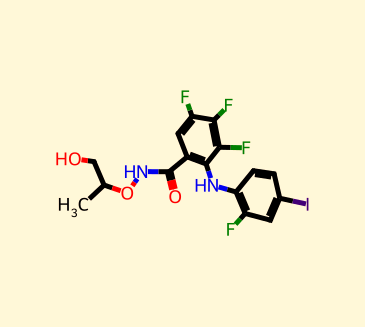 CC(CO)ONC(=O)c1cc(F)c(F)c(F)c1Nc1ccc(I)cc1F